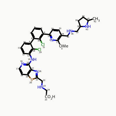 COc1nc(-c2cccc(-c3cccc(Nc4nccc5sc(CNCC(=O)O)nc45)c3Cl)c2Cl)ccc1CNCC1CCC(C)N1